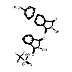 O=C1c2ccccc2C(=O)N1O.O=C1c2ccccc2C(=O)N1O.O=S(=O)(O)C(F)(F)F.O=S(=O)(O)c1ccccc1